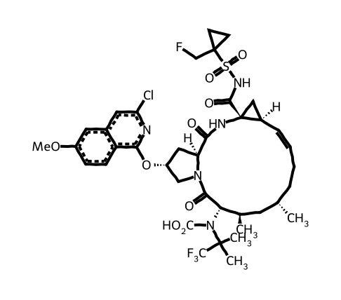 COc1ccc2c(O[C@@H]3C[C@H]4C(=O)N[C@]5(C(=O)NS(=O)(=O)C6(CF)CC6)C[C@H]5/C=C\CC[C@H](C)C[C@@H](C)[C@H](N(C(=O)O)C(C)(C)C(F)(F)F)C(=O)N4C3)nc(Cl)cc2c1